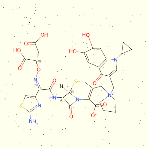 Nc1nc(/C(=N/O[C@@H](CC(=O)O)C(=O)O)C(=O)N[C@@H]2C(=O)N3C(C(=O)[O-])=C(C[N+]4(Cc5cn(C6CC6)c6cc(O)c(O)cc6c5=O)CCCC4)CS[C@H]23)cs1